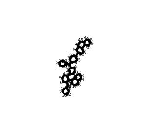 C1=CC(c2cccc3c2c2c4ccccc4ccc2n3-c2ccccc2)=CC(N(c2ccccc2)c2ccc(-c3ccc4c(ccc5ccccc54)c3)cc2)C1